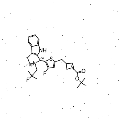 C[C@@H]1Cc2c([nH]c3ccccc23)[C@@H](c2sc(CC3CN(C(=O)OC(C)(C)C)C3)cc2F)N1CC(C)(C)F